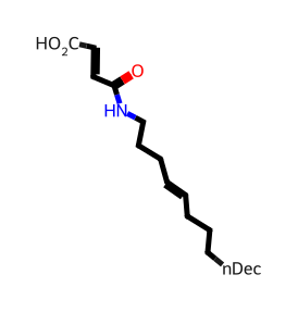 CCCCCCCCCCCCCC=CCCCNC(=O)C=CC(=O)O